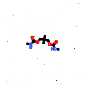 CNC(=O)OCC(C)(C)COC(=O)NC